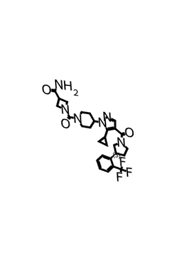 NC(=O)C1CN(C(=O)N2CCC(n3ncc(C(=O)N4CC[C@@H](c5ccccc5C(F)(F)F)C4)c3C3CC3)CC2)C1